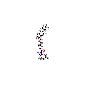 CC1CCC(NC(=O)CCCCCCC(=O)c2ccc(-c3ccccc3)cc2)C(C)(C)CC1